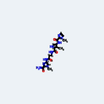 Cc1c(NC(=O)c2nccn2C)c[nH]c1C(=O)NCCC(=O)Nc1cn(C)c(C(N)=O)n1